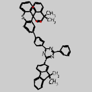 CC1(C)c2ccccc2-c2ccc(-c3nc(-c4ccccc4)nc(-c4ccc(-c5ccc6c(c5)C5(c7ccccc7S6)c6ccccc6C(C)(C)c6ccccc65)cc4)n3)cc21